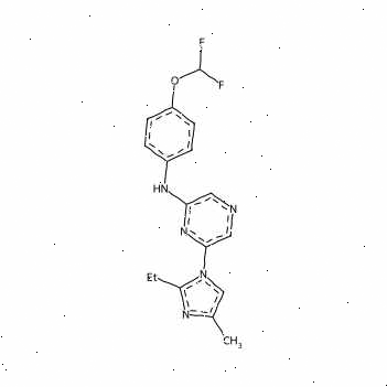 CCc1nc(C)cn1-c1cncc(Nc2ccc(OC(F)F)cc2)n1